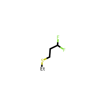 [CH2]CSCCC(F)F